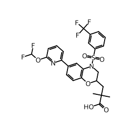 CC(C)(CC1CN(S(=O)(=O)c2cccc(C(F)(F)F)c2)c2cc(-c3cccc(OC(F)F)n3)ccc2O1)C(=O)O